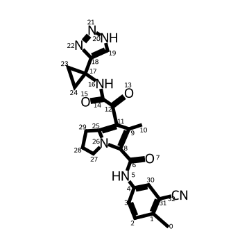 Cc1ccc(NC(=O)c2c(C)c(C(=O)C(=O)NC3(c4c[nH]nn4)CC3)c3n2CCC3)cc1C#N